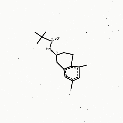 CC(C)(C)[S@@+]([O-])N[C@H]1CCc2c(F)cc(F)cc2C1